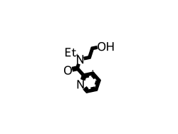 CCN(CCO)C(=O)c1[c]cccn1